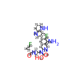 Cc1c(-c2cc3cc(N(C(=O)O)C4CN(C(=O)[C@@H]5C[C@@H]5F)C4)ncc3c(N)c2F)cnc2c1NCCC2